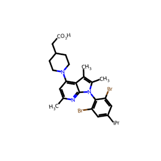 Cc1cc(N2CCC(CC(=O)O)CC2)c2c(C)c(C)n(-c3c(Br)cc(C(C)C)cc3Br)c2n1